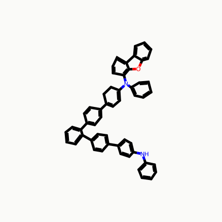 C1=C(c2ccc(-c3ccccc3-c3ccc(-c4ccc(Nc5ccccc5)cc4)cc3)cc2)CCC(N(c2ccccc2)c2cccc3c2oc2ccccc23)=C1